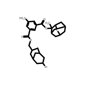 CCC1CC2CC(COC(=O)c3cc(C(=O)OC4(C)C5CC6CC(C5)CC4C6)cc(S(=O)(=O)O)c3)CC(C1)C2